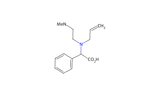 C=CCN(CCNC)C(C(=O)O)c1ccccc1